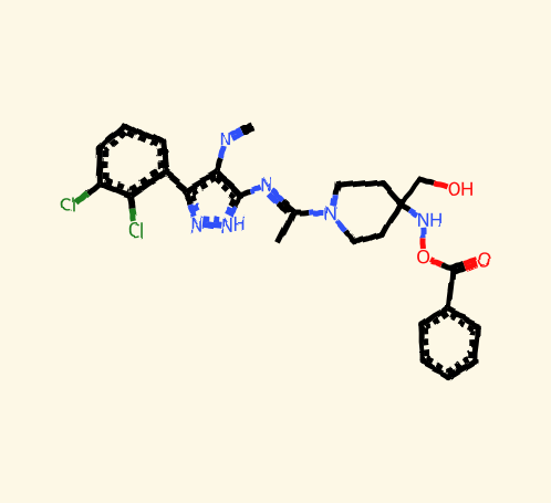 C=Nc1c(-c2cccc(Cl)c2Cl)n[nH]c1/N=C(\C)N1CCC(CO)(NOC(=O)c2ccccc2)CC1